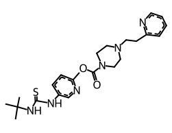 CC(C)(C)NC(=S)Nc1ccc(OC(=O)N2CCN(CCc3ccccn3)CC2)nc1